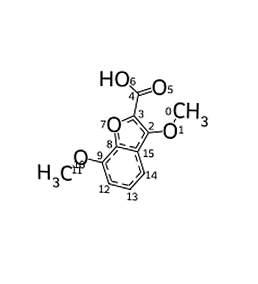 COc1c(C(=O)O)oc2c(OC)cccc12